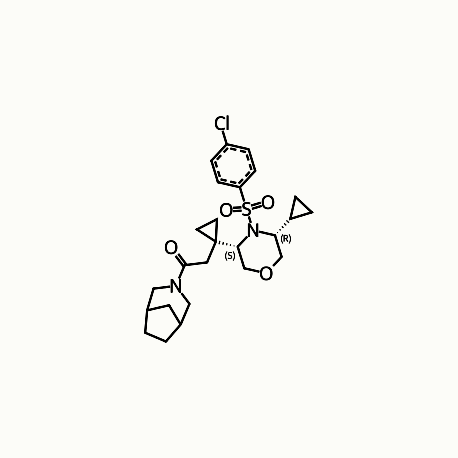 O=C(CC1([C@H]2COC[C@@H](C3CC3)N2S(=O)(=O)c2ccc(Cl)cc2)CC1)N1CC2CCC(C2)C1